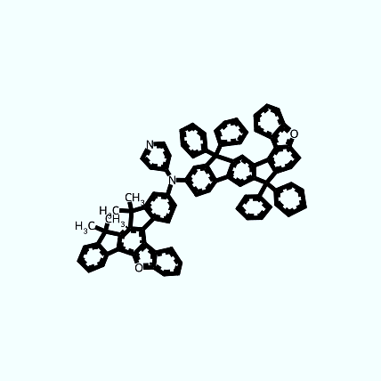 CC1(C)c2ccccc2-c2c1c1c(c3c2oc2ccccc23)-c2ccc(N(c3ccncc3)c3ccc4c(c3)C(c3ccccc3)(c3ccccc3)c3cc5c(cc3-4)C(c3ccccc3)(c3ccccc3)c3ccc4oc6ccccc6c4c3-5)cc2C1(C)C